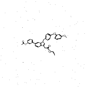 CCOC(=O)Cc1cn(Cc2ccc(Oc3cccc(OC)c3)cc2)c2cc(-c3cccc(OC(C)=O)c3)ccc12